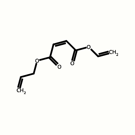 C=CCOC(=O)/C=C\C(=O)OC=C